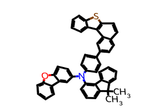 CC1(C)c2ccccc2-c2c(N(c3ccc(-c4ccc5ccc6sc7ccccc7c6c5c4)cc3)c3ccc4oc5ccccc5c4c3)cccc21